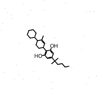 CCCCC(C)(C)c1cc(O)c(C2C=C(C)C(C3CCCCC3)CC2)c(O)c1